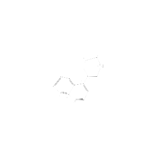 Cl.c1ccc2c(C3CNCCO3)cccc2c1